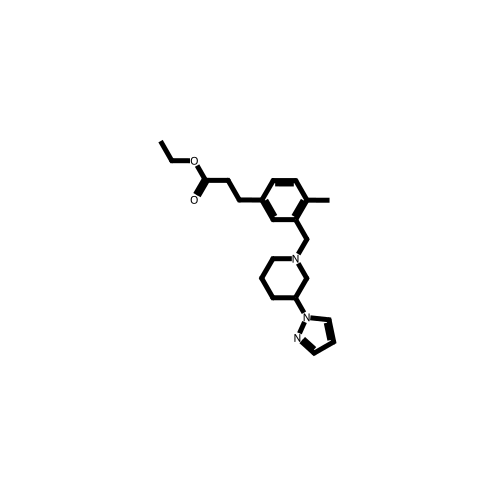 CCOC(=O)CCc1ccc(C)c(CN2CCCC(n3cccn3)C2)c1